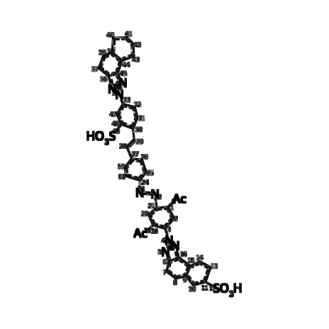 CC(=O)c1cc(-n2n3c4ccc5cc(S(=O)(=O)O)ccc5c4n23)c(C(C)=O)cc1N=Nc1ccc(C=Cc2ccc(-n3n4c5ccc6ccccc6c5n34)cc2S(=O)(=O)O)cc1